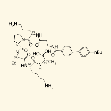 CCCCc1ccc(-c2ccc(C(=O)NCCC(=O)N[C@@H](CCCN)C(=O)N3CCC[C@H]3C(=O)N[C@@H](CC)C(=O)N[C@@H](CCCCN)C(=O)N[C@@H](C)B(O)O)cc2)cc1